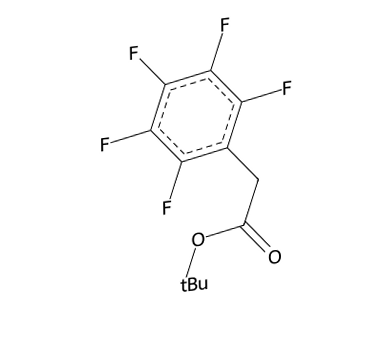 CC(C)(C)OC(=O)Cc1c(F)c(F)c(F)c(F)c1F